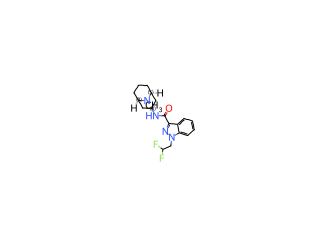 CN1[C@@H]2CCC[C@H]1C[C@@H](NC(=O)c1nn(CC(F)F)c3ccccc13)C2